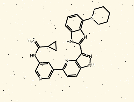 C=C(Nc1cncc(-c2ccc3[nH]nc(-c4nc5c(N6CCCCC6)cccc5[nH]4)c3n2)c1)C1CC1